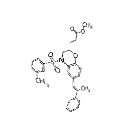 COC(=O)CC[C@H]1CN(S(=O)(=O)c2cccc(C)c2)c2cc(/C=C(\C)c3ccccc3)ccc2O1